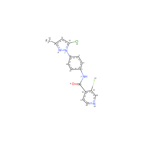 O=C(Nc1ccc(-n2nc(C(F)(F)F)cc2Cl)cc1)c1ccncc1F